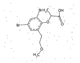 COCCc1cc(Br)cc(Br)c1OC(C)C(=O)O